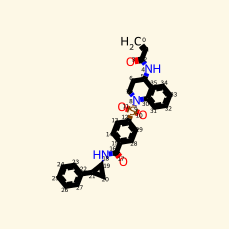 C=CC(=O)NC1CCN(S(=O)(=O)c2ccc(C(=O)N[C@@H]3CC3c3ccccc3)cc2)c2ccccc21